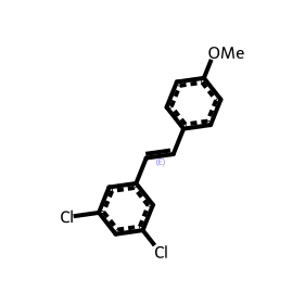 COc1ccc(/C=C/c2cc(Cl)cc(Cl)c2)cc1